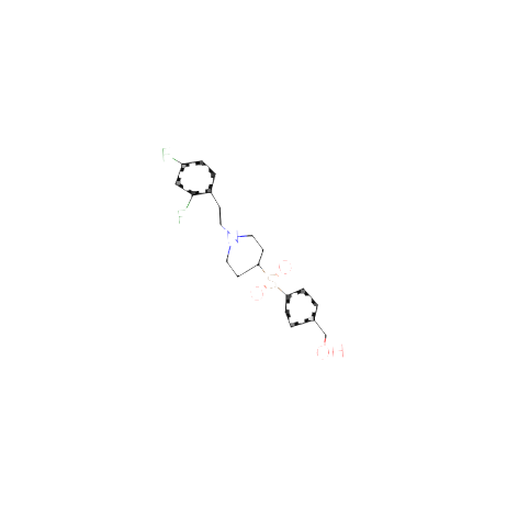 O=S(=O)(c1ccc(CO)cc1)C1CCN(CCc2ccc(F)cc2F)CC1